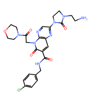 NCCN1CCN(c2cnc3c(cc(C(=O)NCc4ccc(Cl)cc4)c(=O)n3CC(=O)N3CCOCC3)n2)C1=O